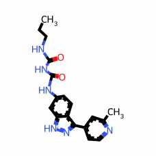 CCCNC(=O)NC(=O)Nc1ccc2c(-c3ccnc(C)c3)n[nH]c2c1